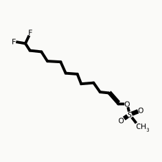 CS(=O)(=O)OC=CCCCCCCCCCC(F)F